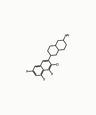 CCCC1CCC2CC(c3cc4cc(F)cc(F)c4c(F)c3Cl)CCC2C1